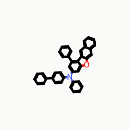 c1ccc(-c2ccc(N(c3ccccc3)c3cc(-c4ccccc4)c4c(c3)oc3cc5ccccc5cc34)cc2)cc1